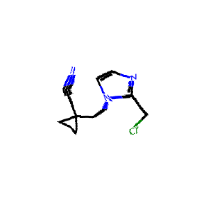 N#CC1(Cn2ccnc2CCl)CC1